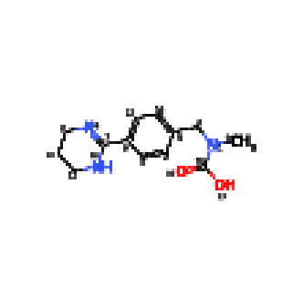 CN(Cc1ccc(C2=NCCCN2)cc1)C(=O)O